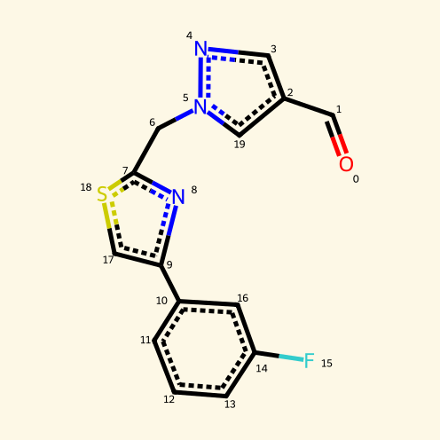 O=Cc1cnn(Cc2nc(-c3cccc(F)c3)cs2)c1